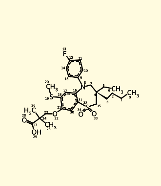 CCCC[C@]1(CC)CN(c2ccc(F)cc2)c2cc(SC)c(OCC(C)(C)C(=O)O)cc2S(=O)(=O)C1